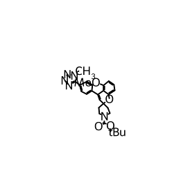 COc1cccc2c1C(c1ccc(-c3nnnn3C)cc1)=CC1(CCN(C(=O)OC(C)(C)C)CC1)O2